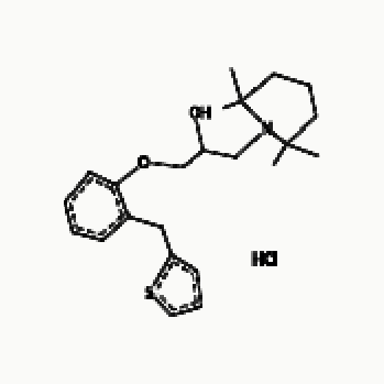 CC1(C)CCCC(C)(C)N1CC(O)COc1ccccc1Cc1cccs1.Cl